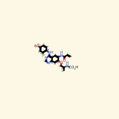 C=CC(=O)Nc1cc2c(Nc3ccc(Br)cc3F)ncnc2cc1OCC(C)NC(=O)O